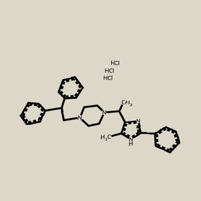 Cc1[nH]c(-c2ccccc2)nc1C(C)N1CCN(CC(c2ccccc2)c2ccccc2)CC1.Cl.Cl.Cl